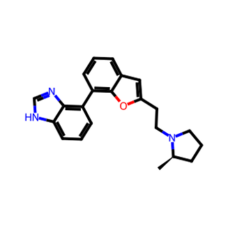 C[C@@H]1CCCN1CCc1cc2cccc(-c3cccc4[nH]cnc34)c2o1